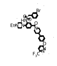 CCN1CCN(c2ccc(C(=O)N3CCC(c4ccc(Oc5ccc(C(F)(F)F)nn5)cc4)CC3)cc2NS(=O)(=O)Cc2cccc(Br)c2)CC1